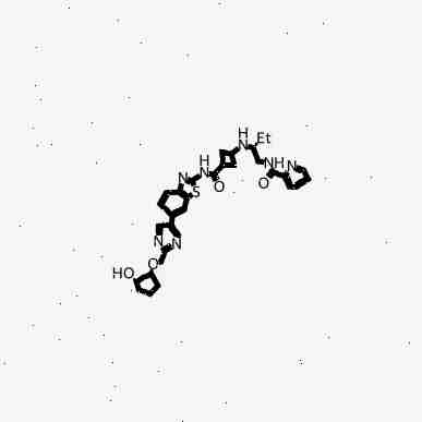 CC[C@@H](CNC(=O)c1ccccn1)NC1CC(C(=O)Nc2nc3ccc(-c4cnc(CO[C@H]5CCC[C@@H]5O)nc4)cc3s2)C1